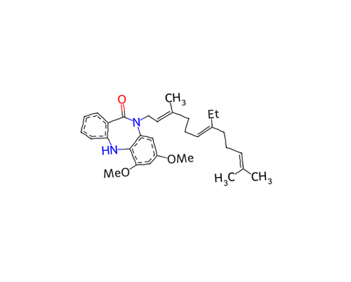 CC/C(=C\CC/C(C)=C/CN1C(=O)c2ccccc2Nc2c(OC)cc(OC)cc21)CCC=C(C)C